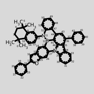 CC1(C)CCC(C)(C)c2cc(N3B4c5cc6cc(-c7ccccc7)oc6cc5-n5c6ccccc6c6c(-c7ccccc7)cc(c4c65)-c4ccccc43)ccc21